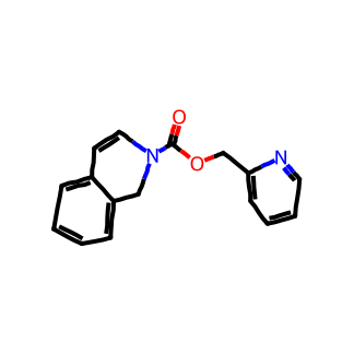 O=C(OCc1ccccn1)N1C=Cc2ccccc2C1